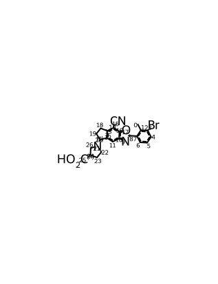 Cc1c(Br)cccc1-c1nc2cc3c(c(C#N)c2o1)CC[C@@H]3N1CC[C@@H](C(=O)O)C1